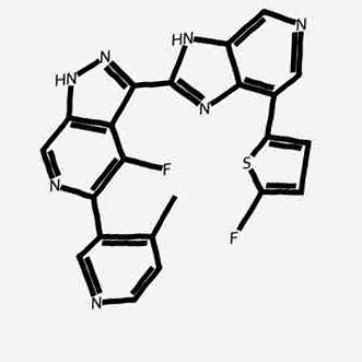 Cc1ccncc1-c1ncc2[nH]nc(-c3nc4c(-c5ccc(F)s5)cncc4[nH]3)c2c1F